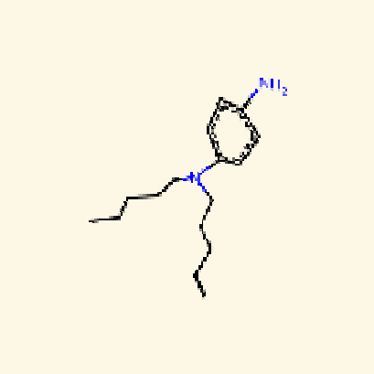 CCCCCN(CCCCC)c1ccc(N)cc1